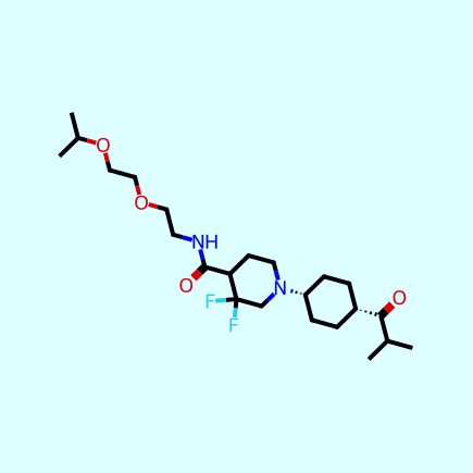 CC(C)OCCOCCNC(=O)C1CCN([C@H]2CC[C@@H](C(=O)C(C)C)CC2)CC1(F)F